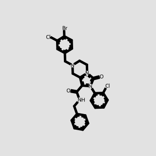 O=C(NCc1ccccc1)c1c2n(c(=O)n1-c1ccccc1Cl)CCN(Cc1ccc(Br)c(Cl)c1)C2